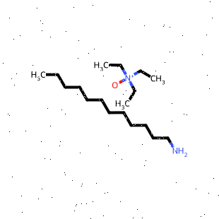 CCCCCCCCCCCCN.CC[N+]([O-])(CC)CC